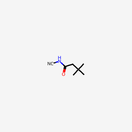 CC(C)(C)CC(=O)NC#N